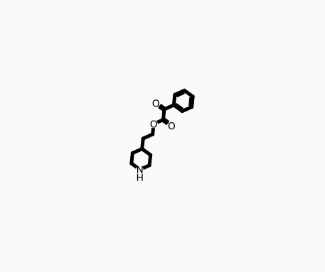 O=C(OCCC1CCNCC1)C(=O)c1ccccc1